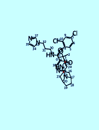 CC(C)(Oc1ccc(Cl)cc1Cl)C(=O)NC1CC2CCC(C1)N2c1ccc(C(=O)NCCCn2ccnc2)cn1